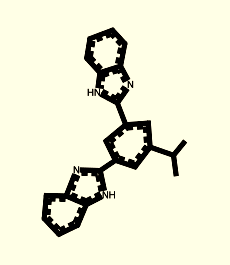 CC(C)c1cc(-c2nc3ccccc3[nH]2)cc(-c2nc3ccccc3[nH]2)c1